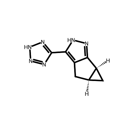 C1c2c(n[nH]c2-c2nn[nH]n2)[C@H]2C[C@@H]12